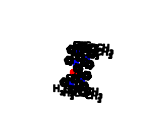 Cc1ccccc1N(c1cc2c3c(c1)N(c1ccc4c(c1)C(C)(C)CCC4(C)C)c1ccccc1B3c1cc3c(cc1O2)N(c1ccccc1)c1cc(N(c2ccccc2C)c2c(C)cccc2C)cc2c1B3c1ccccc1N2c1ccc2c(c1)C(C)(C)CCC2(C)C)c1c(C)cccc1C